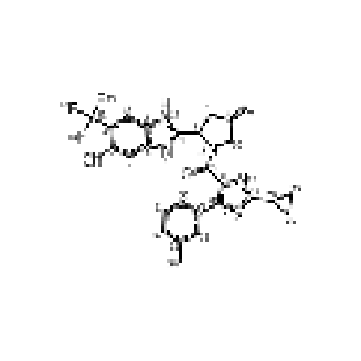 C=C1CC(c2nc3cc(Cl)c(C(F)(F)F)cc3[nH]2)N(C(=O)c2nc(C3CC3)sc2-c2cccc(C)c2)C1